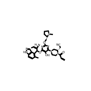 C=CC(=O)N1CCN(c2nc(OC[C@@H]3CCCN3C)nc(OC(/C(N)=C\C)c3c(C)ccc4[nH]ncc34)c2O)C[C@@H]1CC#N